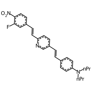 CCCN(CCC)c1ccc(C=Cc2ccc(C=Cc3ccc([N+](=O)[O-])c(F)c3)nc2)cc1